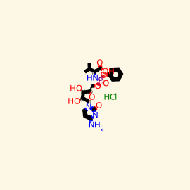 CC(C)[C@H](NP(=O)(OC[C@H]1O[C@@H](n2ccc(N)nc2=O)[C@H](O)[C@@H]1O)Oc1ccccc1)C(=O)O.Cl